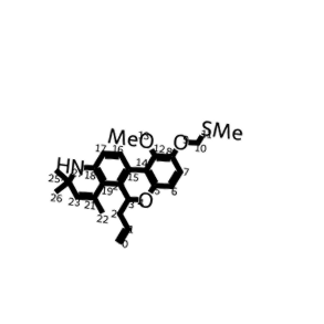 C=CCC1Oc2ccc(OCSC)c(OC)c2-c2ccc3c(c21)C(C)=CC(C)(C)N3